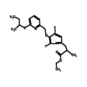 CCOC(=O)C(C)Cc1cc(F)c(OCc2cccc(SC(C)CC)n2)c(F)c1